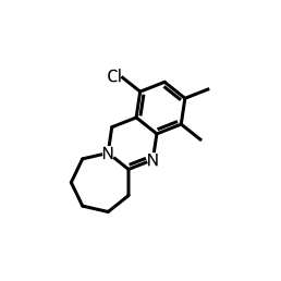 Cc1cc(Cl)c2c(c1C)N=C1CCCCCN1C2